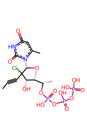 CC#CC1(Cl)[C@@H](O)[C@@H]([C@H](C)OP(=O)(O)OP(=O)(O)OP(=O)(O)O)O[C@H]1n1c(C)cc(=O)[nH]c1=O